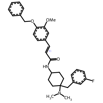 COc1cc(/C=C/C(=O)NC2CCC(Cc3cccc(F)c3)(N(C)C)CC2)ccc1OCc1ccccc1